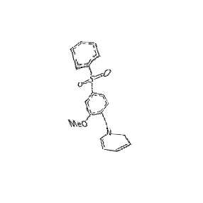 COc1cc(S(=O)(=O)c2ccccc2)ccc1N1C=CC=CC1